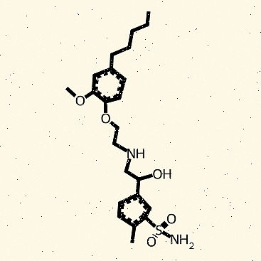 CCCCCc1ccc(OCCNCC(O)c2ccc(C)c(S(N)(=O)=O)c2)c(OC)c1